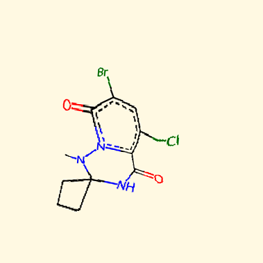 CN1n2c(c(Cl)cc(Br)c2=O)C(=O)NC12CCC2